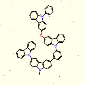 Cn1c2ccc(-c3cccc(-n4c5ccccc5c5cc(Oc6ccc7c(c6)c6ccccc6n7-c6ccccc6)ccc54)c3)cc2c2cc(-n3c4ccccc4c4ccccc43)ccc21